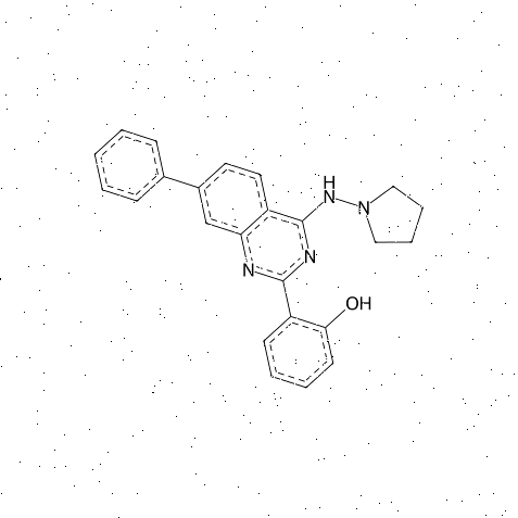 Oc1ccccc1-c1nc(NN2CCCC2)c2ccc(-c3ccccc3)cc2n1